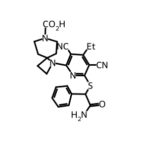 CCc1c(C#N)c(SC(C(N)=O)c2ccccc2)nc(N2CCC23CCN(C(=O)O)CC3)c1C#N